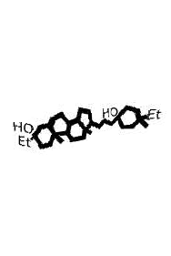 CCC1(C)CCC(O)(CCCC2CCC3C4CC=C5C[C@](O)(CC)CCC5(C)C4CCC23C)CC1